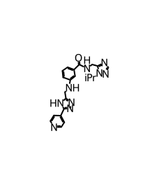 CC(C)n1ncnc1CNC(=O)c1cccc(NCc2nnc(-c3ccncc3)[nH]2)c1